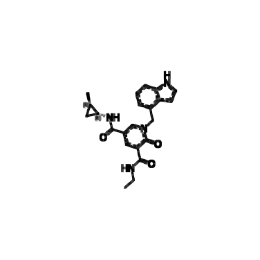 CCNC(=O)c1cc(C(=O)N[C@@H]2C[C@H]2C)cn(Cc2cccc3[nH]ccc23)c1=O